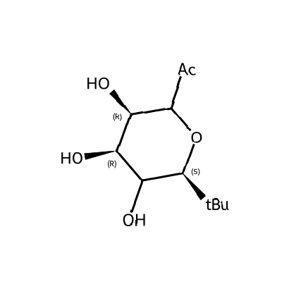 CC(=O)C1O[C@@H](C(C)(C)C)C(O)[C@@H](O)[C@H]1O